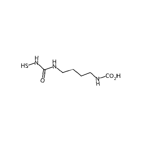 O=C(O)NCCCCNC(=O)NS